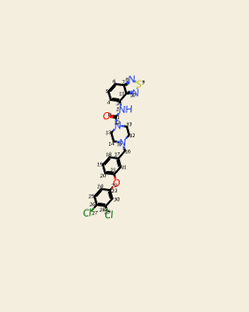 O=C(Nc1cccc2nsnc12)N1CCN(Cc2cccc(Oc3ccc(Cl)c(Cl)c3)c2)CC1